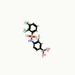 O=S(=O)(Nc1ccc(B(O)O)cc1Cl)c1cccc(Cl)c1Cl